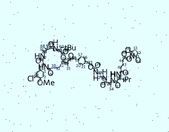 COc1ccc(C[C@H]2NC(=O)/C=C/C[C@@H]([C@H](C)[C@H]3O[C@@H]3c3ccc(COC(=O)NCCNC(=O)[C@H](C)NC(=O)[C@@H](NC(=O)CCCC(=O)ON4C(=O)CCC4=O)C(C)C)cc3)OC(=O)[C@H](CC(C)(C)C)NC(=O)C(C)(C)[C@H](C)NC2=O)cc1Cl